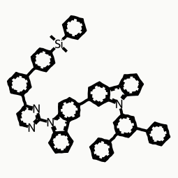 C[Si](C)(c1ccccc1)c1ccc(-c2cccc(-c3ccnc(-n4c5ccccc5c5cc(-c6ccc7c8ccccc8n(-c8cc(-c9ccccc9)cc(-c9ccccc9)c8)c7c6)ccc54)n3)c2)cc1